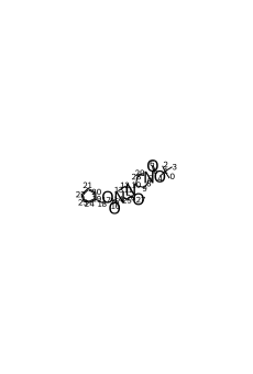 CC(C)(C)OC(=O)N1CCC(N2CCN(C(=O)OCc3ccccc3)CC2=O)CC1